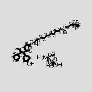 CCC(=C(c1ccc(O)cc1)c1ccc(OCCNCCCCCCCCC[S+]([O-])CCCC(F)(F)C(F)(F)F)cc1)c1ccccc1.CCOC(N)=O.O=P(O)(O)O